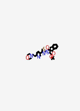 CN(C(=O)C1(CC(=O)OC(C)(C)C)Cc2ccccc2C1)c1nc(-c2ccc(CCN3CCOCC3)nc2)cs1